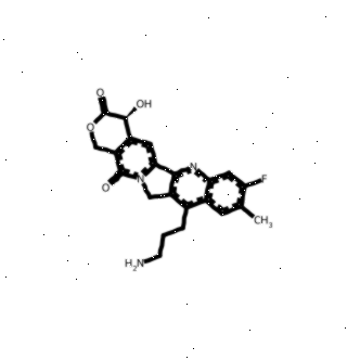 Cc1cc2c(CCCN)c3c(nc2cc1F)-c1cc2c(c(=O)n1C3)COC(=O)[C@H]2O